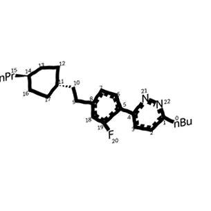 CCCCc1ccc(-c2ccc(CC[C@H]3CC[C@H](CCC)CC3)cc2F)nn1